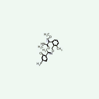 CNC(=O)/C(=N/OC)c1cccc(C)c1CO/N=C(\C)c1ccc(P)cc1Cl